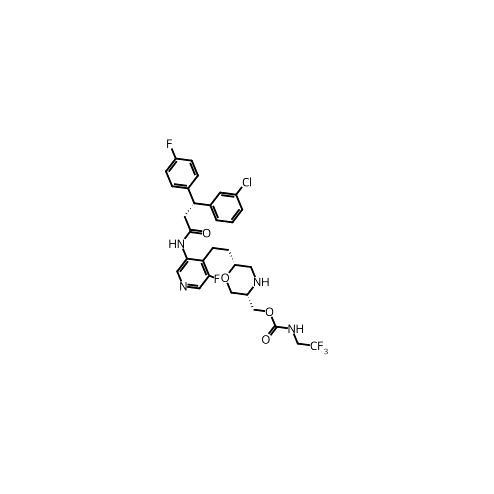 O=C(C[C@H](c1ccc(F)cc1)c1cccc(Cl)c1)Nc1cncc(F)c1CC[C@@H]1CN[C@H](COC(=O)NCC(F)(F)F)CO1